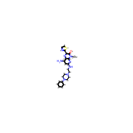 CCC(C)n1c(=O)c(-c2nccs2)nc2c(N)cc(NCCN3CCN(c4ccccc4)CC3)nc21